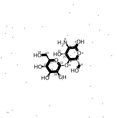 N[C@H]1C(O)O[C@H](CO)[C@@H](O[C@H]2O[C@H](CO)[C@@H](O)[C@H](O)[C@@H]2O)[C@@H]1O